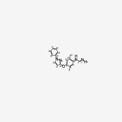 [H]/N=C/Nc1cc(C)c(Oc2ccn(-c3ccccc3)n2)cc1C